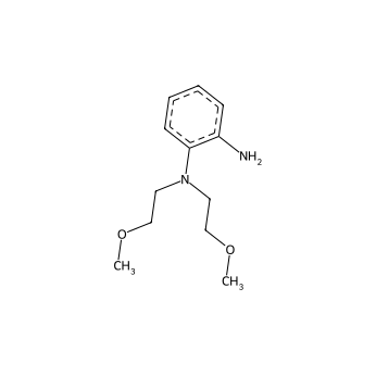 COCCN(CCOC)c1ccccc1N